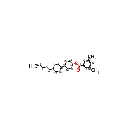 CCCCCC1CCC(C2CCC(OC(=O)c3cc(C)cc(C)c3)CC2)CC1